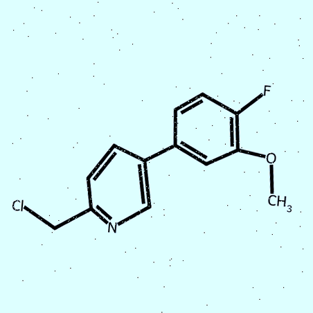 COc1cc(-c2ccc(CCl)nc2)ccc1F